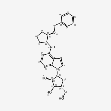 OC[C@H]1O[C@@H](n2cnc3c(NC4CCC[C@H]4OCc4ccccc4)ncnc32)[C@H](O)[C@@H]1O